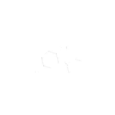 CON(C)[C@@H]1OC(O)C[C@H](O)C1O